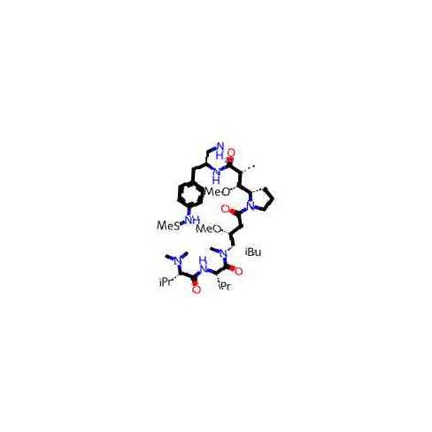 CC[C@H](C)[C@@H]([C@@H](CC(=O)N1CCC[C@H]1[C@H](OC)[C@@H](C)C(=O)N[C@H](CN)Cc1ccc(NSC)cc1)OC)N(C)C(=O)[C@@H](NC(=O)[C@H](C(C)C)N(C)C)C(C)C